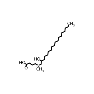 CCCCCCCCCCCCCCCCC(O)CN(C)CCCC(=O)O